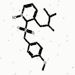 COc1ccc(CS(=O)(=O)C2C(CC(C)C(C)C)=CC=CN2O)cc1